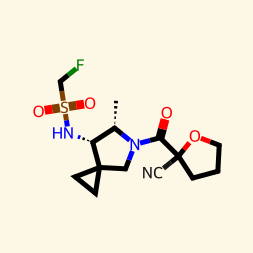 C[C@H]1[C@@H](NS(=O)(=O)CF)C2(CC2)CN1C(=O)C1(C#N)CCCO1